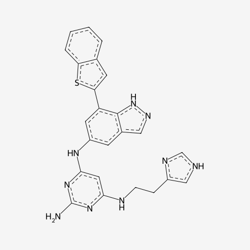 Nc1nc(NCCc2c[nH]cn2)cc(Nc2cc(-c3cc4ccccc4s3)c3[nH]ncc3c2)n1